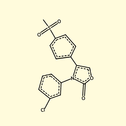 CS(=O)(=O)c1ccc(-c2coc(=O)n2-c2cccc(Cl)c2)cc1